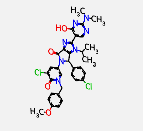 COc1ccc(Cn2cc(N3C(=O)c4nc(-c5cnc(N(C)C)nc5O)n(C(C)C)c4C3c3ccc(Cl)cc3)cc(Cl)c2=O)cc1